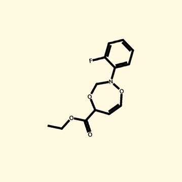 CCOC(=O)C1C=CON(c2ccccc2F)CO1